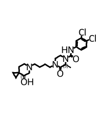 C[C@H]1C(=O)N(CCCCN2CCC3(CC3)[C@H](O)C2)CCN1C(=O)Nc1ccc(Cl)c(Cl)c1